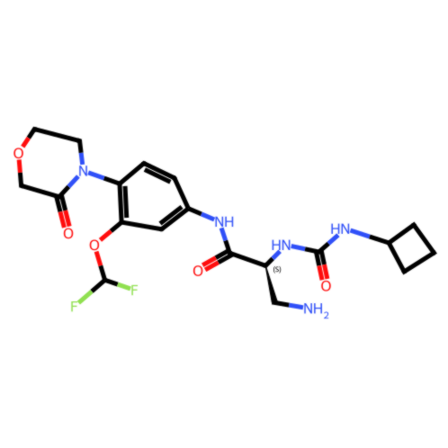 NC[C@H](NC(=O)NC1CCC1)C(=O)Nc1ccc(N2CCOCC2=O)c(OC(F)F)c1